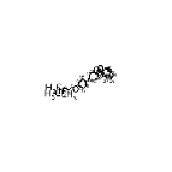 C[N+](C)(C)CCCOc1ccc([C@H]2CC[C@]3(CC2)OO[C@]2(O3)C3CC4CC(C3)CC2C4)cc1